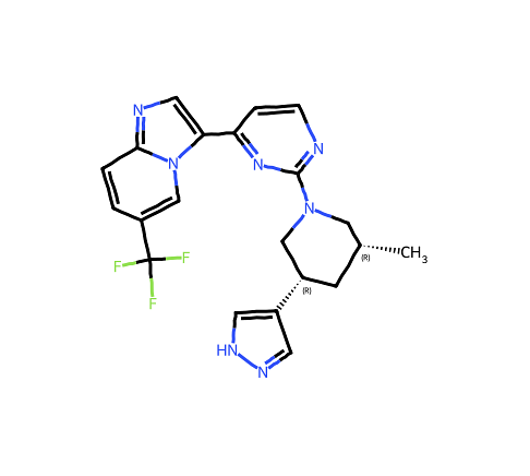 C[C@@H]1C[C@H](c2cn[nH]c2)CN(c2nccc(-c3cnc4ccc(C(F)(F)F)cn34)n2)C1